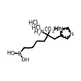 Cl.Cl.NC(CCCCB(O)O)(Cc1cnc[nH]1)C(=O)O